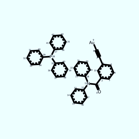 O=C(c1cccc(C#[C][Au])c1)N(c1ccccc1)c1ccccc1.c1ccc(P(c2ccccc2)c2ccccc2)cc1